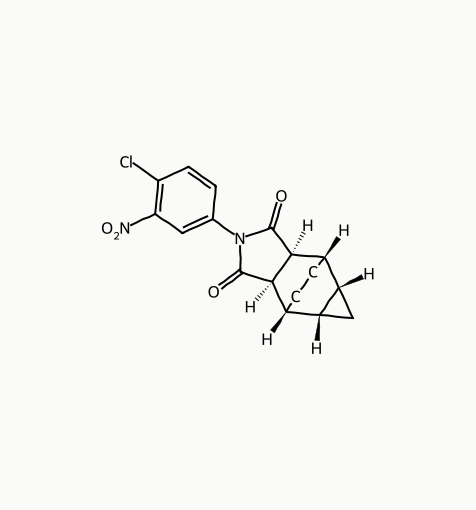 O=C1[C@@H]2[C@@H]3CC[C@@H]([C@@H]4C[C@@H]43)[C@@H]2C(=O)N1c1ccc(Cl)c([N+](=O)[O-])c1